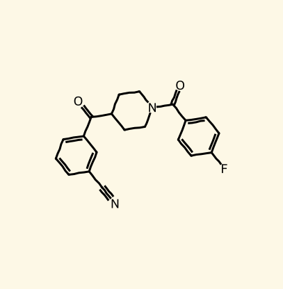 N#Cc1cccc(C(=O)C2CCN(C(=O)c3ccc(F)cc3)CC2)c1